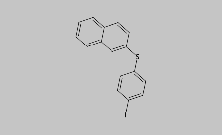 Ic1ccc(Sc2ccc3ccccc3c2)cc1